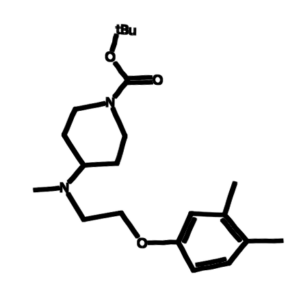 Cc1ccc(OCCN(C)C2CCN(C(=O)OC(C)(C)C)CC2)cc1C